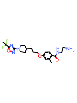 Cc1cc(OCCCC2CCN(c3noc(C(C)(F)F)n3)CC2)ccc1C(=O)NCCN